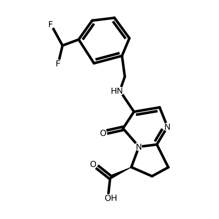 O=C(O)[C@@H]1CCc2ncc(NCc3cccc(C(F)F)c3)c(=O)n21